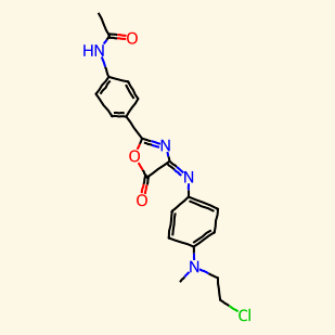 CC(=O)Nc1ccc(C2=N/C(=N/c3ccc(N(C)CCCl)cc3)C(=O)O2)cc1